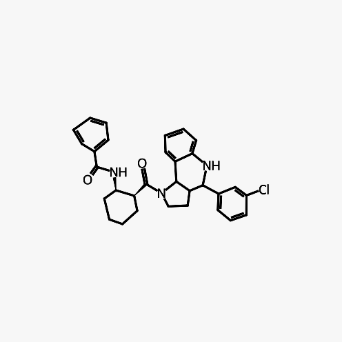 O=C(N[C@@H]1CCCC[C@@H]1C(=O)N1CCC2C(c3cccc(Cl)c3)Nc3ccccc3C21)c1ccccc1